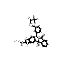 O=C(O)C(F)(F)F.O=C(O)Nc1nc2cc(C3(O)c4ccccc4C(=O)N3Cc3cccc(Cl)c3)ccc2[nH]1